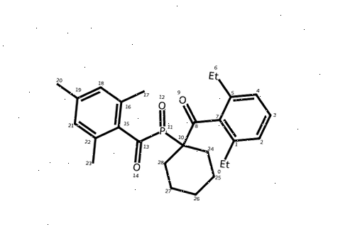 CCc1cccc(CC)c1C(=O)C1([P](=O)C(=O)c2c(C)cc(C)cc2C)CCCCC1